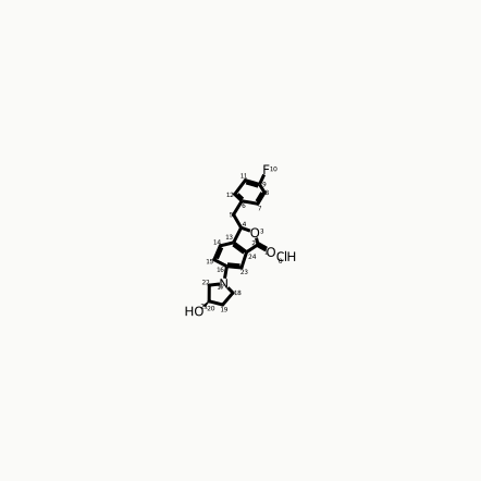 Cl.O=C1OC(Cc2ccc(F)cc2)c2ccc(N3CC[C@@H](O)C3)cc21